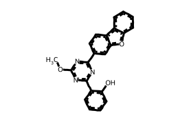 COc1nc(-c2ccc3c(c2)oc2ccccc23)nc(-c2ccccc2O)n1